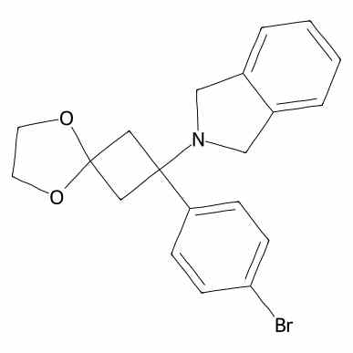 Brc1ccc(C2(N3Cc4ccccc4C3)CC3(C2)OCCO3)cc1